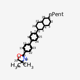 CCCCCC1CCC2CC(c3ccc(-c4ccc(C5=NC(C)(C)CO5)cc4)cc3)CCC2C1